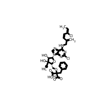 C#C[C@@]1(O)[C@@H](COC(Cc2ccccc2)(C(=O)O)C(=O)O)O[C@@H](n2cnc3c(NCC(=C)/C=C\C(Cl)=C/C)nc(Cl)nc32)[C@@H]1O